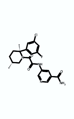 C[C@@H]1CC[C@@](C)(c2cc(F)cc(Cl)c2)N(C(=O)C(=O)Nc2cncc(C(N)=O)c2)C1